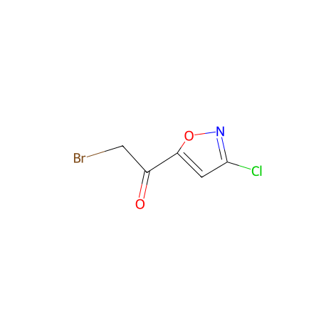 O=C(CBr)c1cc(Cl)no1